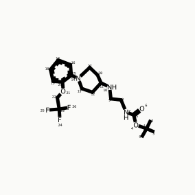 CC(C)(C)OC(=O)NCCNC1CCN(c2ccccc2OCC(F)(F)F)CC1